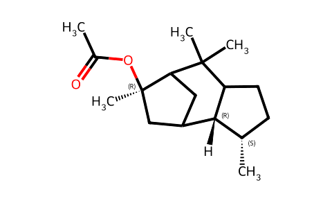 CC(=O)O[C@]1(C)CC2CC1C(C)(C)C1CC[C@H](C)[C@H]21